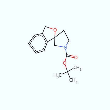 CC(C)(C)OC(=O)N1CCC2(C1)OCc1ccccc12